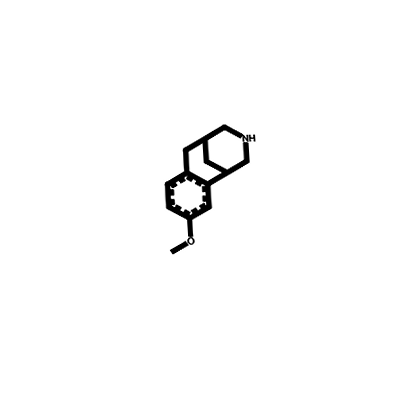 COc1ccc2c(c1)C1CNCC(C2)C1